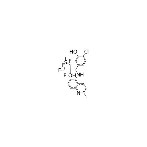 CSCC(O)(C(Nc1cccc2nc(C)ccc12)c1ccc(Cl)c(O)c1F)C(F)(F)F